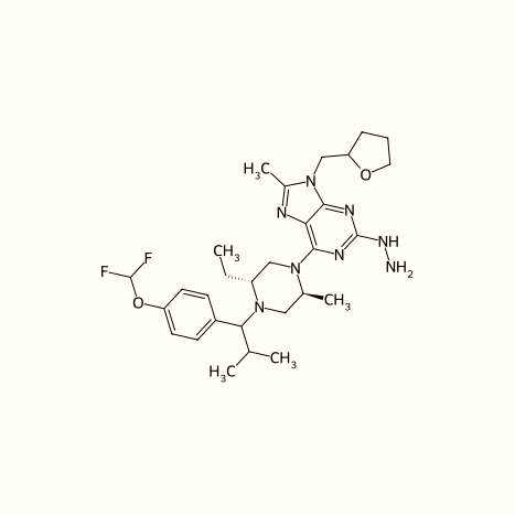 CC[C@@H]1CN(c2nc(NN)nc3c2nc(C)n3CC2CCCO2)[C@@H](C)CN1C(c1ccc(OC(F)F)cc1)C(C)C